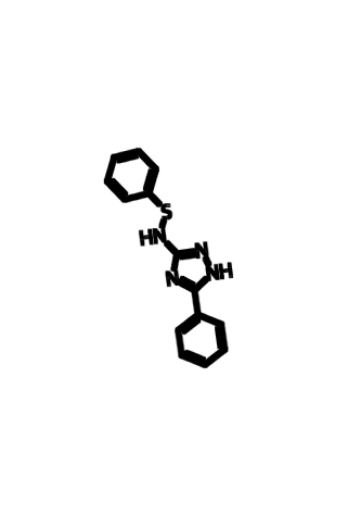 c1ccc(SNc2n[nH]c(-c3ccccc3)n2)cc1